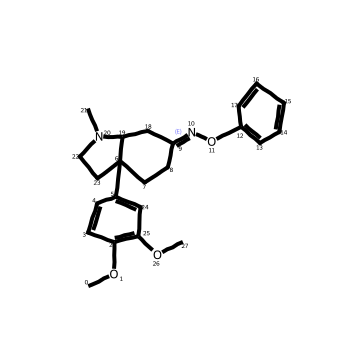 COc1ccc(C23CC/C(=N\Oc4ccccc4)CC2N(C)CC3)cc1OC